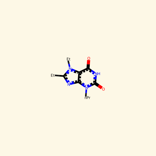 CCCn1c(=O)[nH]c(=O)c2c1nc(CC)n2CC